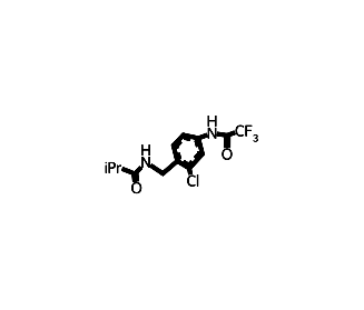 CC(C)C(=O)NCc1ccc(NC(=O)C(F)(F)F)cc1Cl